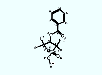 O=C(OC(C(F)(F)F)C(F)(F)S(=O)(=O)OS)c1ccccc1